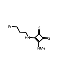 CNc1c(NCCCC(C)C)c(=S)c1=S